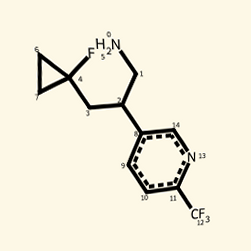 NCC(CC1(F)CC1)c1ccc(C(F)(F)F)nc1